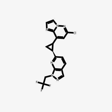 FC(F)(F)Cn1ncc2ccc([C@H]3CC3c3cc(Cl)nn4ccnc34)nc21